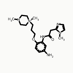 CN1CC[N+](C)(CCCOc2ccc(N)cc2NC(=O)CC2=[N+]C=CN2C)CC1